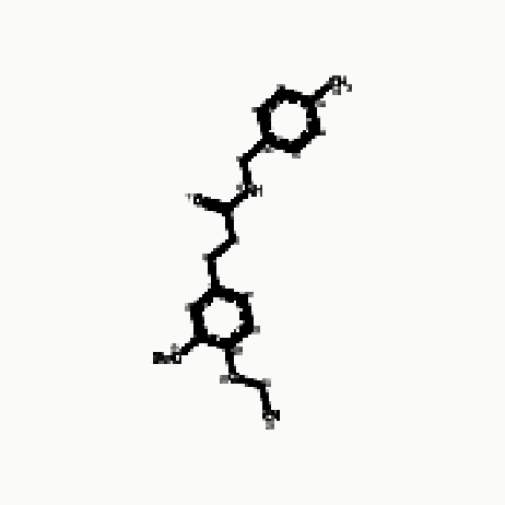 COc1cc(CCC(=O)NCc2ccc(C)cc2)ccc1OCC#N